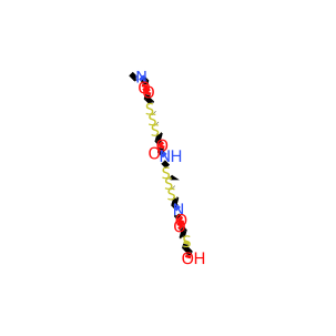 CC/N=C\OOCCSCSCSCCOC(=O)NCCSCSCSCC/N=C/OOCCSCCO